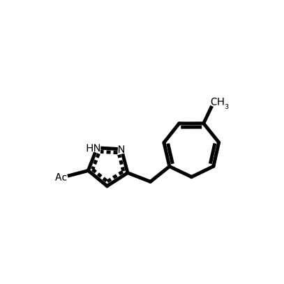 CC(=O)c1cc(CC2=CC=C(C)C=CC2)n[nH]1